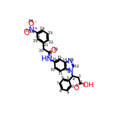 O=C(O)CC(c1ccccc1)n1cnc2cc(NC(=O)Cc3cccc([N+](=O)[O-])c3)ccc21